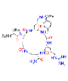 CCCC[C@H](NC(C)=O)C(=O)N[C@H]1CCC(=O)NCC[C@@H](C(N)=O)NC(=O)[C@H](CCCNC(=N)N)NC(=O)[C@@H](Cc2ccc(OC)cc2)NC(O)[C@H](CCCN)NC1=O